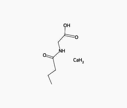 CCCC(=O)NCC(=O)O.[CaH2]